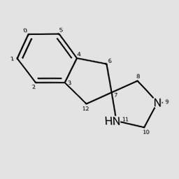 c1ccc2c(c1)CC1(C[N]CN1)C2